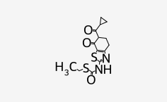 CCSC(=O)Nc1nc2c(s1)C(=O)C(C(=O)C1CC1)CC2